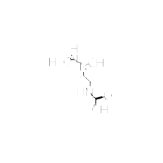 CNN(C)CCNC(C)=O